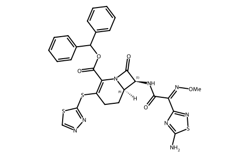 CON=C(C(=O)N[C@@H]1C(=O)N2C(C(=O)OC(c3ccccc3)c3ccccc3)=C(Sc3nncs3)CC[C@H]12)c1nsc(N)n1